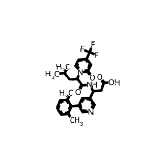 Cc1cccc(C)c1-c1cncc(C(CC(=O)O)NC(=O)C(CC(C)C)n2ccc(C(F)(F)F)cc2=O)c1